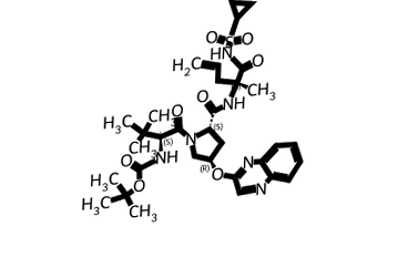 C=CC[C@@](C)(NC(=O)[C@@H]1C[C@@H](Oc2cnc3ccccc3n2)CN1C(=O)[C@@H](NC(=O)OC(C)(C)C)C(C)(C)C)C(=O)NS(=O)(=O)C1CC1